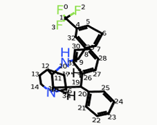 FC(F)(F)c1cccc(CN[C@@H]2C3CCN(CC3)[C@H]2C(c2ccccc2)c2ccccc2)c1